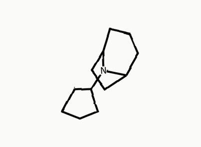 [CH]1CCCC1N1C2CCCC1CC2